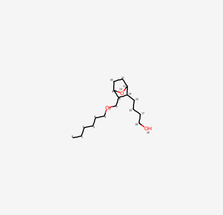 CCCCCCOCC1C2CCC(O2)C1CCCCO